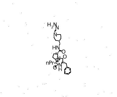 CCCS(=O)(=O)N[C@H](Cc1ccccc1)C(=O)N1CCC[C@H]1C(=O)NCC1CCN(C=NN)CC1